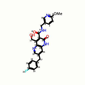 COc1ccc(CNC(=O)c2c(CO)c3ncc(Cc4ccc(F)cc4)cc3[nH]c2=O)cn1